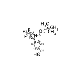 C[Si](C)(C)CCOCn1cc(C(F)(F)F)nc1-c1ccc(CO)cc1